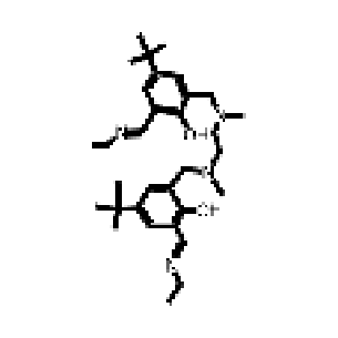 CC/N=C/c1cc(C(C)(C)C)cc(CN(C)CCN(C)Cc2cc(C(C)(C)C)cc(/C=N/CC)c2O)c1O